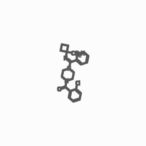 O=C(c1ccccc1Cl)N1CCN(C(=NC2(C(=O)O)CCC2)c2ccccn2)CC1